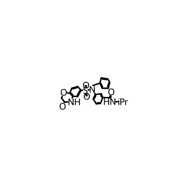 CC(C)NC(=O)c1cccc(N(Cc2ccccc2)S(=O)(=O)c2ccc3c(c2)NC(=O)CO3)c1